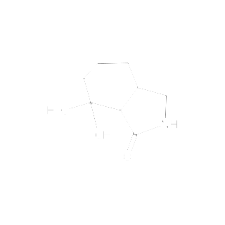 CC1(C)CCCC2CNC(=O)C21